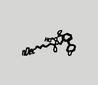 CCCCCCCCCCCCCCCC(=O)OCc1c(C(=O)OCO)cccc1C1CCOC1